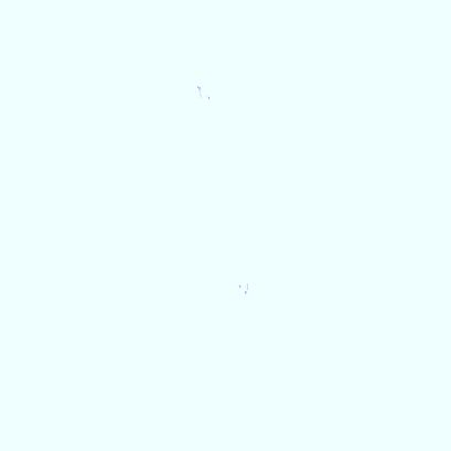 C1=CC(N(c2ccc(-c3ccccc3)cc2)c2cccc3ccccc23)=CC(c2ccccc2-c2ccc3c4ccccc4n(-c4ccccc4)c3c2)C1